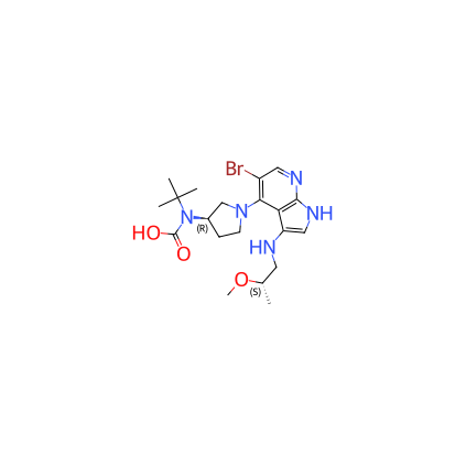 CO[C@@H](C)CNc1c[nH]c2ncc(Br)c(N3CC[C@@H](N(C(=O)O)C(C)(C)C)C3)c12